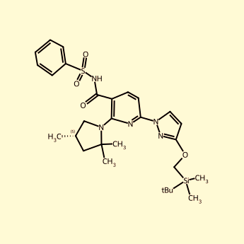 C[C@@H]1CN(c2nc(-n3ccc(OC[Si](C)(C)C(C)(C)C)n3)ccc2C(=O)NS(=O)(=O)c2ccccc2)C(C)(C)C1